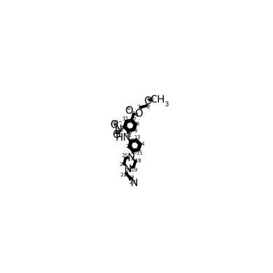 COCCOC(=O)c1ccc(Nc2cccc(N3CCN(CC#N)CC3)c2)c([N+](=O)[O-])c1